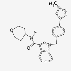 Cn1cc(-c2ccc(Cn3cc(C(=O)N(F)C4CCOCC4)c4ccccc43)cc2)cn1